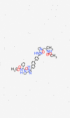 COC(=O)NCC(C)CC(=O)N1CCCC1c1ncc(-c2ccc(-c3ccc4cc(-c5cnc(C6CCCN6C(=O)C(NC(=O)OC)c6ccccc6)[nH]5)ccc4c3)cc2)[nH]1